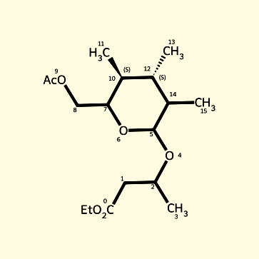 CCOC(=O)CC(C)OC1OC(COC(C)=O)[C@@H](C)[C@H](C)C1C